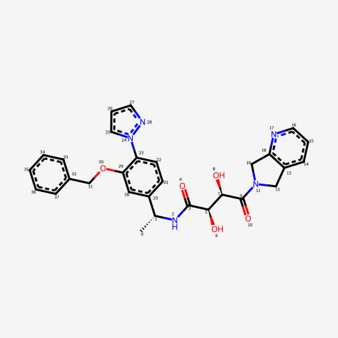 C[C@@H](NC(=O)[C@H](O)[C@@H](O)C(=O)N1Cc2cccnc2C1)c1ccc(-n2cccn2)c(OCc2ccccc2)c1